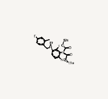 CCN(Cc1ccc(F)cc1C)c1ccc([N+](=O)[O-])c(N(C(=O)OC(C)(C)C)C(=O)OC(C)(C)C)c1F